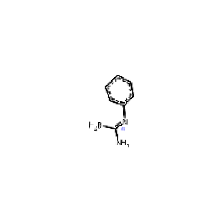 B/C(N)=N\c1ccccc1